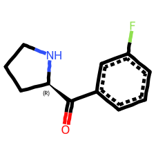 O=C(c1cccc(F)c1)[C@H]1CCCN1